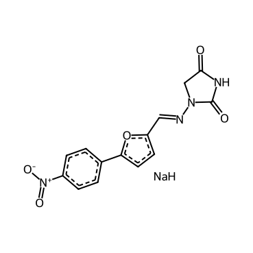 O=C1CN(N=Cc2ccc(-c3ccc([N+](=O)[O-])cc3)o2)C(=O)N1.[NaH]